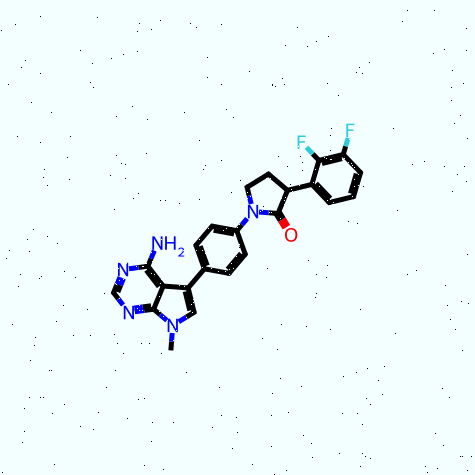 Cn1cc(-c2ccc(N3CCC(c4cccc(F)c4F)C3=O)cc2)c2c(N)ncnc21